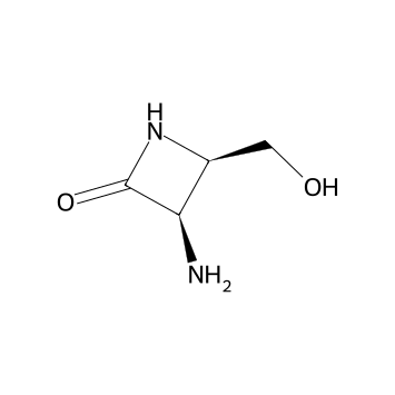 N[C@H]1C(=O)N[C@H]1CO